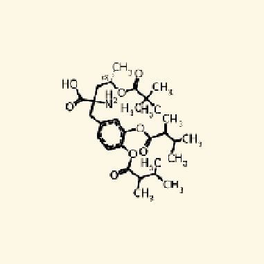 CC(C)C(C)C(=O)Oc1ccc(CC(N)(C[C@H](C)OC(=O)C(C)(C)C)C(=O)O)cc1OC(=O)C(C)C(C)C